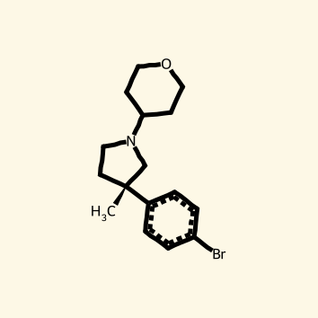 C[C@@]1(c2ccc(Br)cc2)CCN(C2CCOCC2)C1